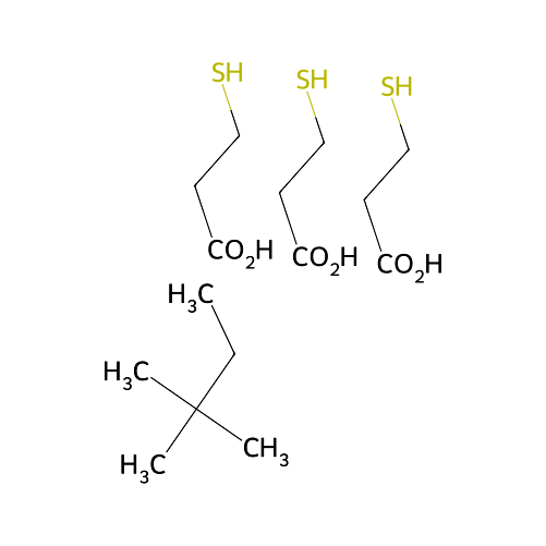 CCC(C)(C)C.O=C(O)CCS.O=C(O)CCS.O=C(O)CCS